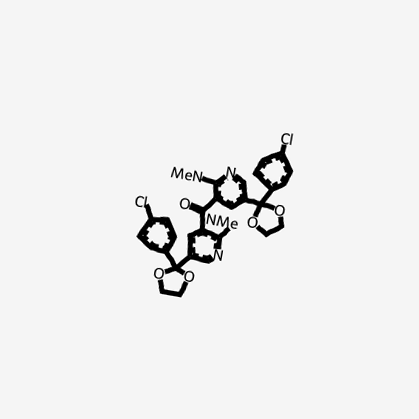 CNc1ncc(C2(c3ccc(Cl)cc3)OCCO2)cc1C(=O)c1cc(C2(c3ccc(Cl)cc3)OCCO2)cnc1NC